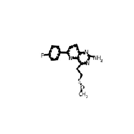 COSCCc1nc(N)nc2ccc(-c3ccc(F)cc3)nc12